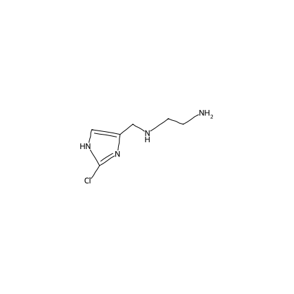 NCCNCc1c[nH]c(Cl)n1